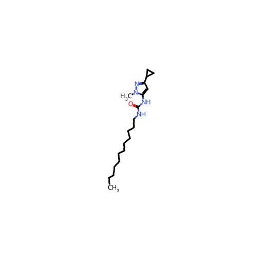 CCCCCCCCCCCCNC(=O)Nc1cc(C2CC2)nn1C